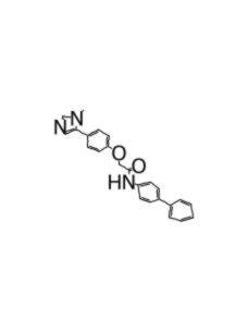 Cn1cncc1-c1ccc(OCC(=O)Nc2ccc(-c3ccccc3)cc2)cc1